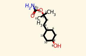 CC(C)(CCC1CCC(O)CC1)OC(N)=O